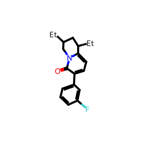 CCC1CC(CC)c2ccc(-c3cccc(F)c3)c(=O)n2C1